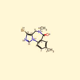 Cc1ccc2c(c1)C(=O)N(C)Cc1c(Br)ncn1-2